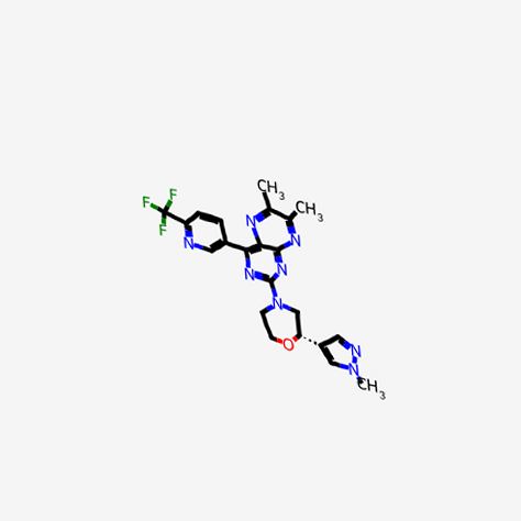 Cc1nc2nc(N3CCO[C@@H](c4cnn(C)c4)C3)nc(-c3ccc(C(F)(F)F)nc3)c2nc1C